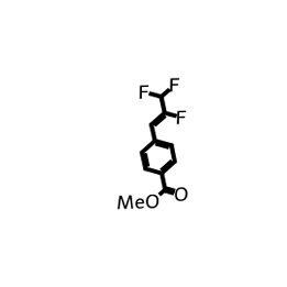 COC(=O)c1ccc(C=C(F)C(F)F)cc1